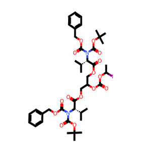 CC(I)OC(=O)OC(COC(=O)[C@H](C(C)C)N(C(=O)OCc1ccccc1)C(=O)OC(C)(C)C)COC(=O)[C@H](C(C)C)N(C(=O)OCc1ccccc1)C(=O)OC(C)(C)C